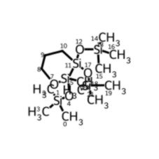 C[Si](C)(C)O[Si]1(C)OCCC[Si]1(O[Si](C)(C)C)O[Si](C)(C)C